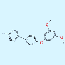 COc1cc(OC)cc(Oc2ccc(-c3ccc(C)cc3)cc2)c1